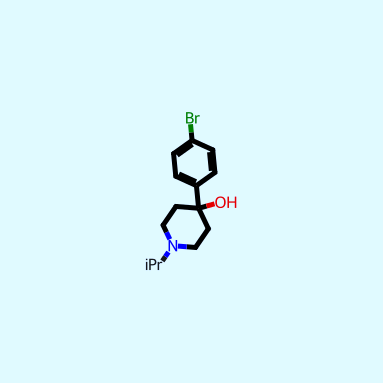 CC(C)N1CCC(O)(c2ccc(Br)cc2)CC1